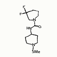 CSN1CCC(NC(=O)N2CCCC(F)(F)C2)CC1